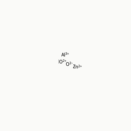 [Al+3].[O+2].[O-2].[Zn+2]